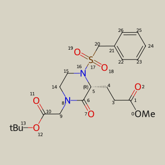 COC(=O)CC[C@@H]1C(=O)N(CC(=O)OC(C)(C)C)CCN1S(=O)(=O)Cc1ccccc1